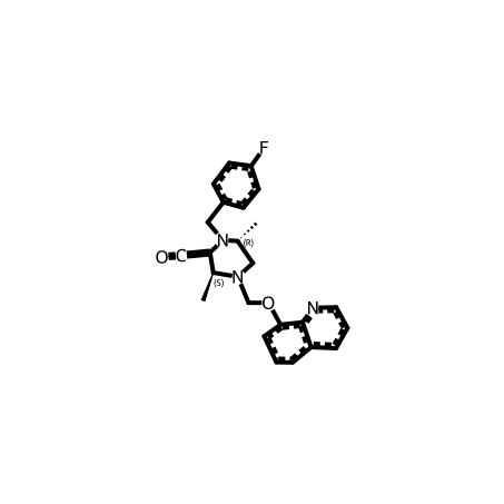 C[C@@H]1CN(COc2cccc3cccnc23)[C@@H](C)C(=C=O)N1Cc1ccc(F)cc1